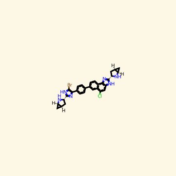 Clc1cc2[nH]c([C@@H]3C[C@H]4C[C@H]4N3)nc2c2ccc(-c3ccc(-c4nc([C@@H]5C[C@H]6C[C@H]6N5)[nH]c4Br)cc3)cc12